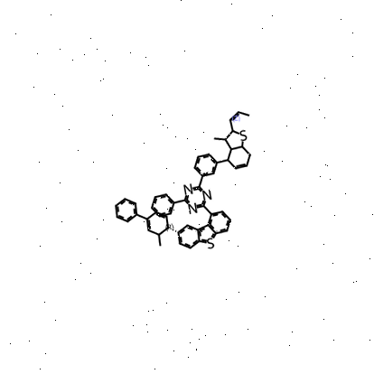 C/C=C\C1SC2CC=CC(c3cccc(-c4nc(-c5ccccc5)nc(-c5cccc6sc7ccc([C@H]8C=CC(c9ccccc9)=CC8C)cc7c56)n4)c3)C2C1C